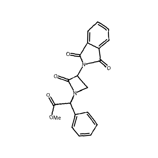 COC(=O)C(c1ccccc1)N1CC(N2C(=O)c3ccccc3C2=O)C1=O